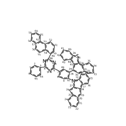 c1ccc(-c2nc(-c3ccc(-n4c5ccccc5c5cc6ccccc6cc54)c(-c4cc5ccccc5c5sc6ccccc6c45)c3)nc(-c3cccc4c3ccc3ccccc34)n2)cc1